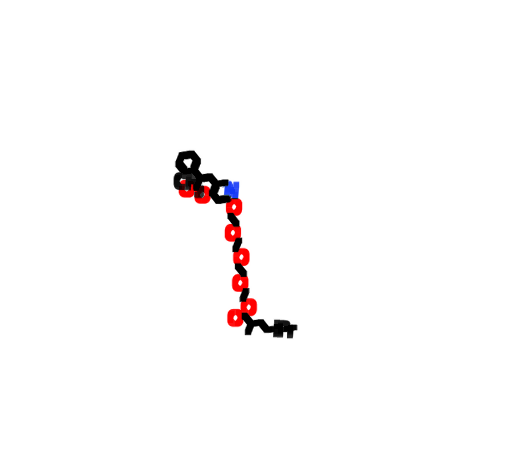 CC(C)CCC(C)C(=O)OCCOCCOCCOCCOc1cc2oc(=O)c(-c3ccccc3C(F)(F)F)cc2cn1